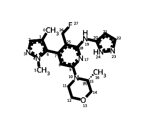 Cc1cnn(C)c1-c1cc(N2CCOC[C@H]2C)nc(Nc2ccn[nH]2)c1CF